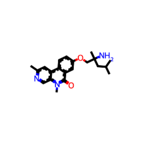 Cc1cc2c3ccc(OCC(C)(N)CC(C)C)cc3c(=O)n(C)c2cn1